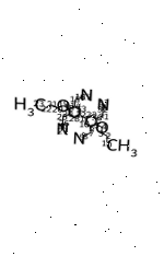 CCCCOc1c(CC#N)cc(-c2cc(CC#N)c(OCCCC)c(CC#N)c2)cc1CC#N